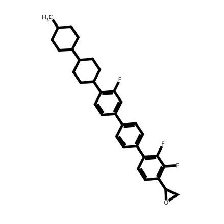 CC1CCC(C2CCC(c3ccc(-c4ccc(-c5ccc(C6CO6)c(F)c5F)cc4)cc3F)CC2)CC1